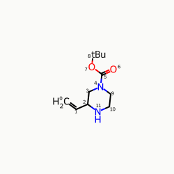 C=CC1CN(C(=O)OC(C)(C)C)CCN1